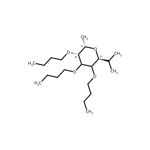 CCCCOC1C(OCCCC)[C@H](OCCCC)[C@H](C)O[C@H]1C(C)C